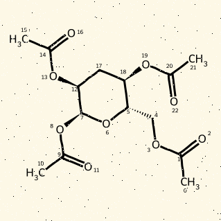 CC(=O)OC[C@@H]1O[C@@H](OC(C)=O)[C@@H](OC(C)=O)C[C@H]1OC(C)=O